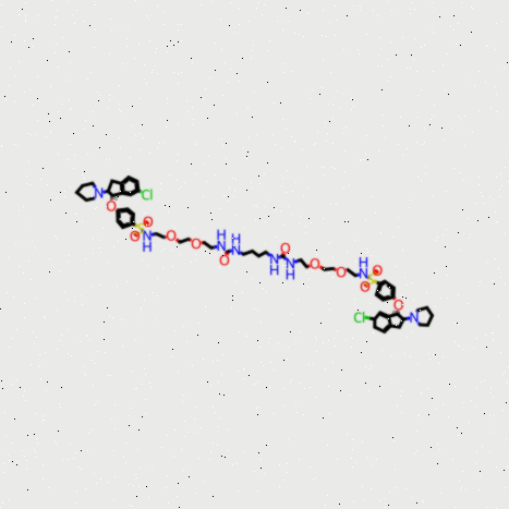 O=C(NCCCCNC(=O)NCCOCCOCCNS(=O)(=O)c1ccc(O[C@H]2c3cc(Cl)ccc3CC2N2CCCCC2)cc1)NCCOCCOCCNS(=O)(=O)c1ccc(O[C@H]2C3=CC(Cl)CC=C3CC2N2CCCCC2)cc1